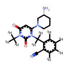 [2H]c1c([2H])c([2H])c(C([2H])([2H])n2c(N3CCC[C@@H](N)C3)cc(=O)n(C([2H])([2H])[2H])c2=O)c(C#N)c1[2H]